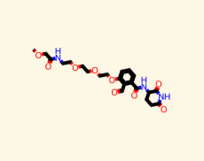 COCC(=O)NCCOCCOCCOc1cccc(C(=O)NC2CCC(=O)NC2=O)c1C=O